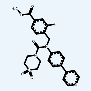 COC(=O)c1ccc(CN(C(=O)N2CCS(=O)(=O)CC2)c2ccc(-c3ccncc3)cc2)c(F)c1